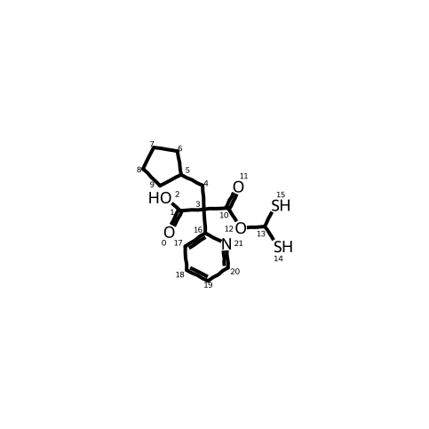 O=C(O)C(CC1CCCC1)(C(=O)OC(S)S)c1ccccn1